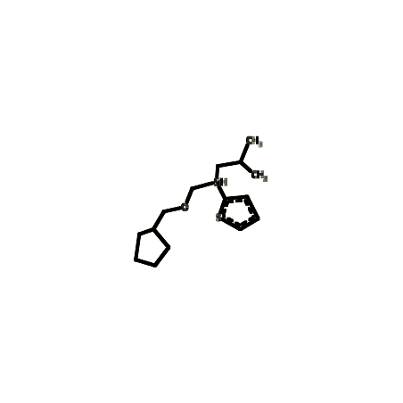 CC(C)C[SiH](COCC1CCCC1)c1cccs1